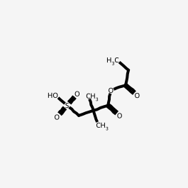 CCC(=O)OC(=O)C(C)(C)CS(=O)(=O)O